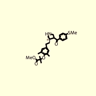 COC(=O)C(C)(C)Oc1c(C)cc(CC[C@H]2CNCC2C(=O)c2ccc(SC)cc2)cc1C